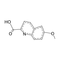 COc1ccc2nc(C(=O)O)ccc2c1